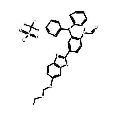 CCOCOc1ccc2nc(-c3ccc(N(C)C=O)c([S+](c4ccccc4)c4ccccc4)c3)sc2c1.O=S(=O)([O-])C(F)(F)F